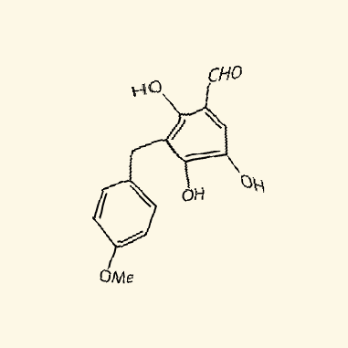 COc1ccc(Cc2c(O)c(O)cc(C=O)c2O)cc1